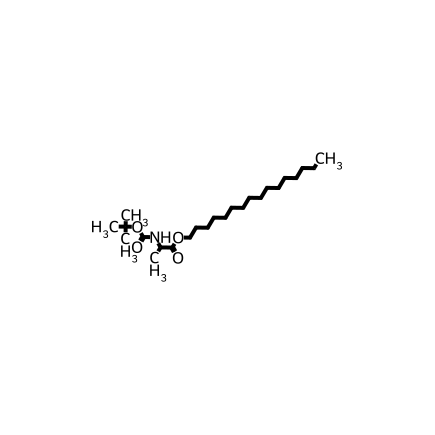 CCCCCCCCCCCCCCCCOC(=O)C(C)NC(=O)OC(C)(C)C